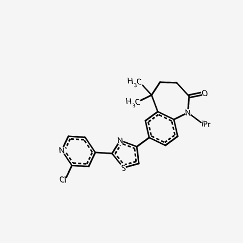 CC(C)N1C(=O)CCC(C)(C)c2cc(-c3csc(-c4ccnc(Cl)c4)n3)ccc21